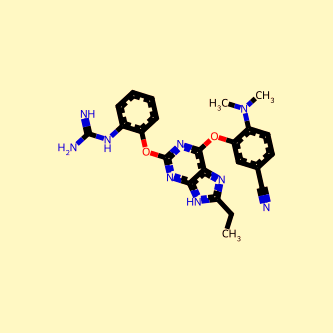 CCc1nc2c(Oc3cc(C#N)ccc3N(C)C)nc(Oc3ccccc3NC(=N)N)nc2[nH]1